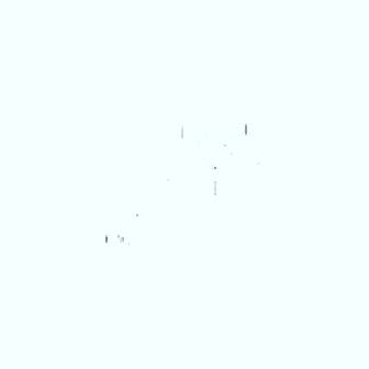 CC(C)C(C)(C)C(=O)OC1CCC(C(C)(C)C)CC1